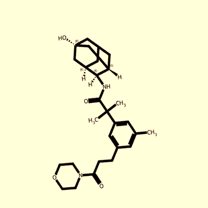 Cc1cc(CCC(=O)N2CCOCC2)cc(C(C)(C)C(=O)N[C@H]2[C@@H]3CC4C[C@H]2C[C@](O)(C4)C3)c1